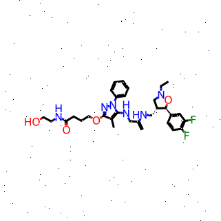 C=C(CNc1c(C)c(OCCCC(=O)NCCO)nn1-c1ccccc1)NC[C@@H]1CN(CC)O[C@H]1c1ccc(F)c(F)c1